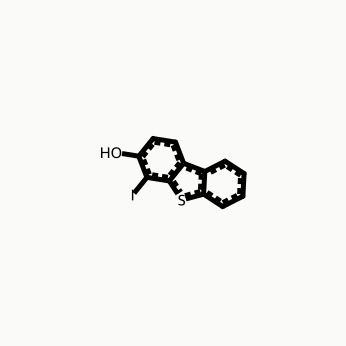 Oc1ccc2c(sc3ccccc32)c1I